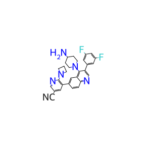 N#Cc1cnc(N2CCC2)c(-c2ccc3ncc(-c4cc(F)cc(F)c4)c(N4CCC(N)CC4)c3c2)c1